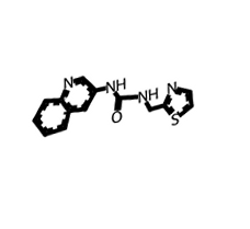 O=C(NCc1nccs1)Nc1cnc2ccccc2c1